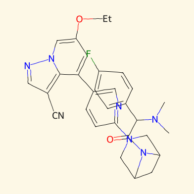 CCOc1cc(-c2ccc(N3CC4CC(C3)N4C(=O)C(c3ccc(F)cc3)N(C)C)nc2)c2c(C#N)cnn2c1